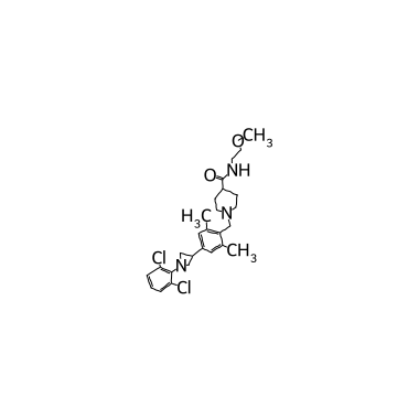 COCCNC(=O)C1CCN(Cc2c(C)cc(C3CN(c4c(Cl)cccc4Cl)C3)cc2C)CC1